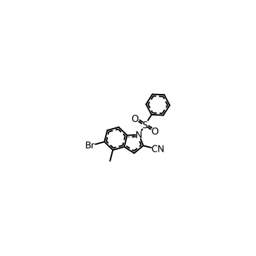 Cc1c(Br)ccc2c1cc(C#N)n2S(=O)(=O)c1ccccc1